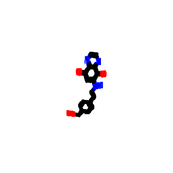 O=C1C=C(NCCc2ccc(CO)cc2)C(=O)c2nccnc21